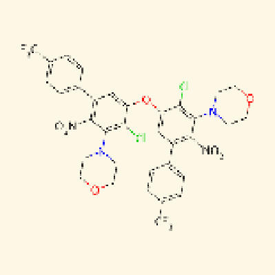 O=[N+]([O-])c1c(-c2ccc(C(F)(F)F)cc2)cc(Oc2cc(-c3ccc(C(F)(F)F)cc3)c([N+](=O)[O-])c(N3CCOCC3)c2Cl)c(Cl)c1N1CCOCC1